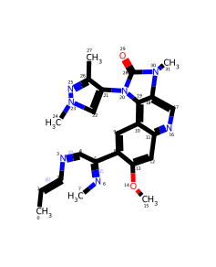 C/C=C/N=C\C(=N/C)c1cc2c(cc1OC)ncc1c2n(-c2cn(C)nc2C)c(=O)n1C